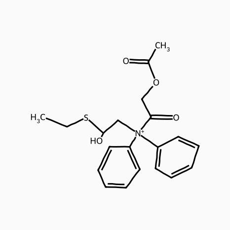 CCSC(O)C[N+](C(=O)COC(C)=O)(c1ccccc1)c1ccccc1